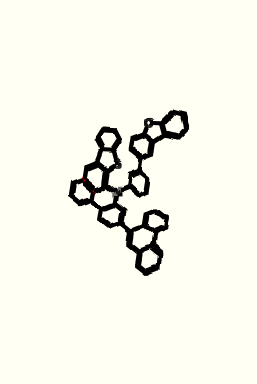 c1ccc(-c2ccc(-c3cc4ccccc4c4ccccc34)cc2N(c2cccc(-c3ccc4oc5ccccc5c4c3)c2)c2cccc3c2sc2ccccc23)cc1